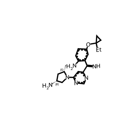 CCC1(Oc2ccc(N)c(C(=N)c3cc(N4C[C@H](N)C[C@@H]4C)ncn3)c2)CC1